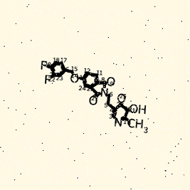 CC1=NC=C(CCN2C(=O)c3ccc(OCc4ccc(F)c(F)c4)cc3C2=O)C(=O)C1O